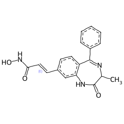 CC1N=C(c2ccccc2)c2ccc(/C=C/C(=O)NO)cc2NC1=O